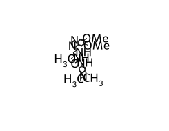 COc1cc2ncnc(C(=N)CC(C)NC(=O)Nc3ccc(N(C)C)cc3)c2cc1OC